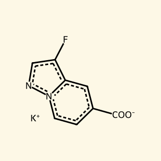 O=C([O-])c1ccn2ncc(F)c2c1.[K+]